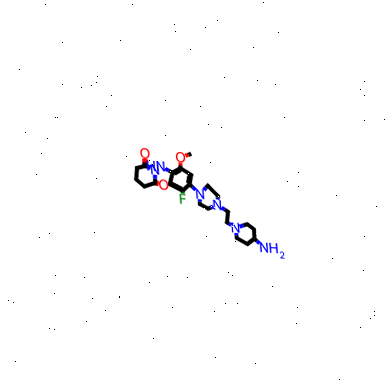 COc1cc(N2CCN(CCN3CCC(N)CC3)CC2)c(F)cc1NN1C(=O)CCCC1=O